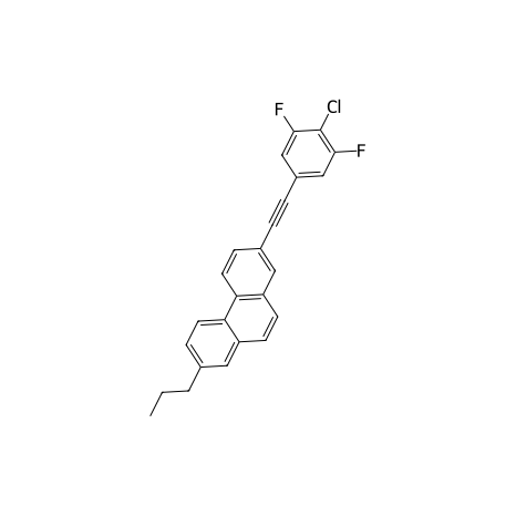 CCCc1ccc2c(ccc3cc(C#Cc4cc(F)c(Cl)c(F)c4)ccc32)c1